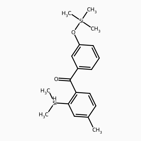 Cc1ccc(C(=O)c2cccc(O[Si](C)(C)C)c2)c([SiH](C)C)c1